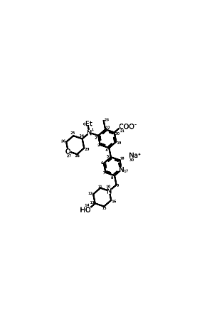 CCN(c1cc(-c2ccc(CN3CCC(O)CC3)nc2)cc(C(=O)[O-])c1C)C1CCOCC1.[Na+]